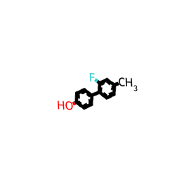 Cc1ccc(-c2ccc(O)cc2)c(F)c1